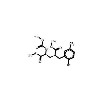 CC(C)(C)OC(=O)N[C@@H](C[C@H](Cc1cc(C(F)(F)F)ccc1Br)C(=O)OC(C)(C)C)C(=O)OC(C)(C)C